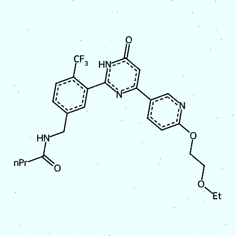 CCCC(=O)NCc1ccc(C(F)(F)F)c(-c2nc(-c3ccc(OCCOCC)nc3)cc(=O)[nH]2)c1